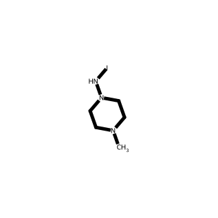 CN1CCN(NI)CC1